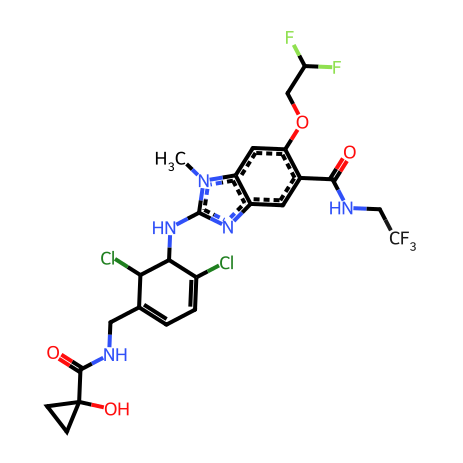 Cn1c(NC2C(Cl)=CC=C(CNC(=O)C3(O)CC3)C2Cl)nc2cc(C(=O)NCC(F)(F)F)c(OCC(F)F)cc21